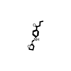 CCCC(=O)c1ccc(NC[C@H]2CCCO2)cc1